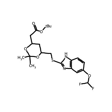 CC(C)(C)OC(=O)CC1CC(CSc2nc3cc(OC(F)F)ccc3[nH]2)OC(C)(C)O1